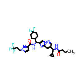 CCCC(=O)NC(c1cnn2cc([C@@H](NC(=O)c3ccn(CCC(F)(F)F)n3)C3CCC(F)(F)CC3)nc2c1)C1CC1